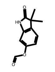 CC1(C)C(=O)Nc2cc(OC=O)ccc21